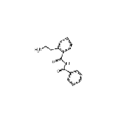 NCCc1ccccc1C(=O)NC(=O)c1ccccc1